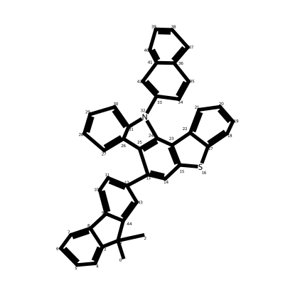 CC1(C)c2ccccc2-c2ccc(-c3cc4sc5ccccc5c4c4c3c3ccccc3n4-c3ccc4ccccc4c3)cc21